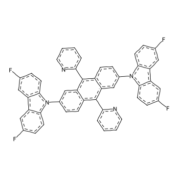 Fc1ccc2c(c1)c1cc(F)ccc1n2-c1ccc2c(-c3ccccn3)c3cc(-n4c5ccc(F)cc5c5cc(F)ccc54)ccc3c(-c3ccccn3)c2c1